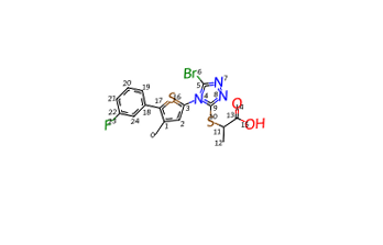 Cc1cc(-n2c(Br)nnc2SC(C)C(=O)O)sc1-c1cccc(F)c1